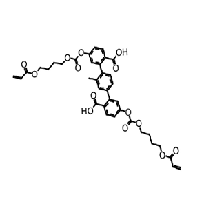 C=CC(=O)OCCCCOC(=O)Oc1ccc(C(=O)O)c(-c2ccc(-c3cc(OC(=O)OCCCCOC(=O)C=C)ccc3C(=O)O)c(C)c2)c1